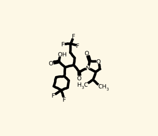 CC(C)C1COC(=O)N1C(=O)C(CCC(F)(F)F)C(C(=O)O)C1CCC(F)(F)CC1